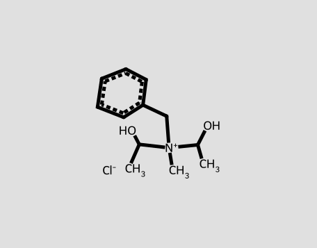 CC(O)[N+](C)(Cc1ccccc1)C(C)O.[Cl-]